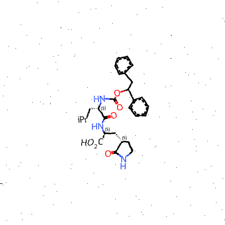 CC(C)C[C@H](NC(=O)OC(Cc1ccccc1)c1ccccc1)C(=O)N[C@@H](C[C@@H]1CCNC1=O)C(=O)O